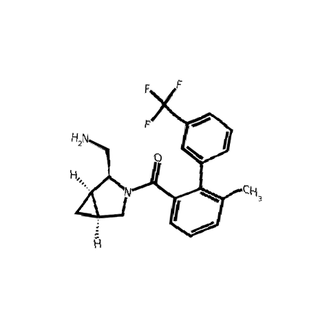 Cc1cccc(C(=O)N2C[C@H]3C[C@H]3[C@H]2CN)c1-c1cccc(C(F)(F)F)c1